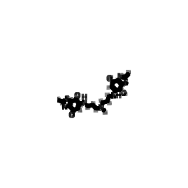 Cc1nc2c(s1)C(=O)C(NCCCN(C)CCCNC1=CC(=O)c3nc(C)sc3C1=O)=CC2=O